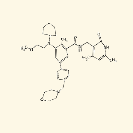 COCCN(c1cc(-c2ccc(CN3CCOCC3)cc2)cc(C(=O)NCc2c(C)cc(C)[nH]c2=O)c1C)C1CCCCC1